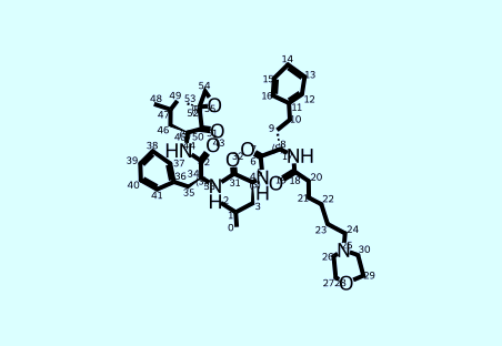 CC(C)C[C@H](NC(=O)[C@H](CCc1ccccc1)NC(=O)CCCCCN1CCOCC1)C(=O)N[C@@H](Cc1ccccc1)C(=O)N[C@@H](CC(C)C)C(=O)[C@@]1(C)CO1